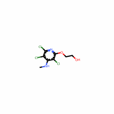 CNc1c(Cl)c(Cl)nc(OCCO)c1Cl